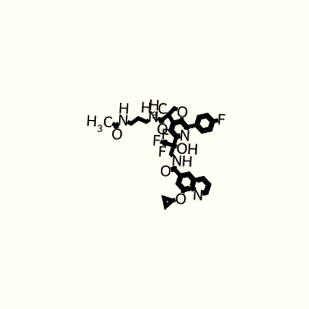 CC(=O)NCCCNC(=O)[C@@]1(C)COc2c1cc(C(O)(CNC(=O)c1cc(OC3CC3)c3ncccc3c1)C(F)(F)F)nc2-c1ccc(F)cc1